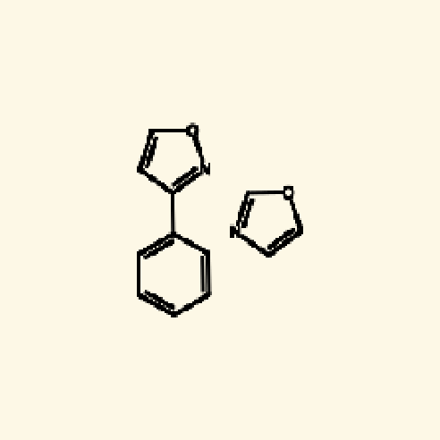 c1ccc(-c2ccon2)cc1.c1cocn1